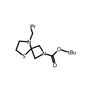 CC(C)CN1CCSC12CN(C(=O)OC(C)(C)C)C2